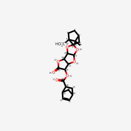 CC1(C)C2CCC1(C(=O)O)C1(C2)OC2OC3C(OC(=O)C4CC5C=CC4C5)C(=O)OC3C2O1